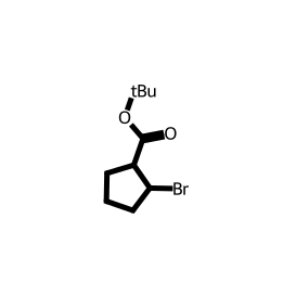 CC(C)(C)OC(=O)C1CCCC1Br